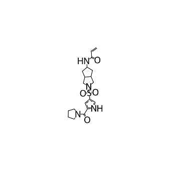 C=CC(=O)NC1CC2CN(S(=O)(=O)c3c[nH]c(C(=O)N4CCCC4)c3)CC2C1